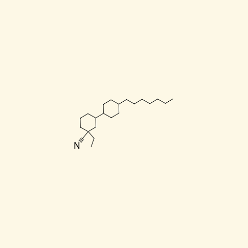 CCCCCCCC1CCC(C2CCCC(C#N)(CC)C2)CC1